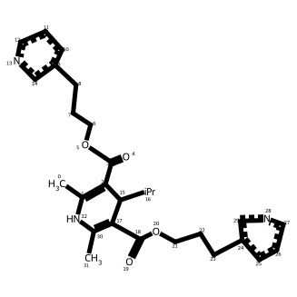 CC1=C(C(=O)OCCCc2cccnc2)C(C(C)C)C(C(=O)OCCCc2cccnc2)=C(C)N1